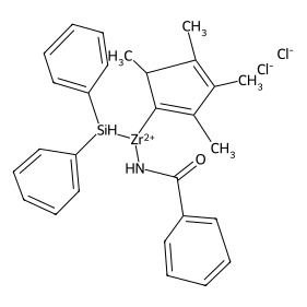 CC1=C(C)C(C)[C]([Zr+2]([NH]C(=O)c2ccccc2)[SiH](c2ccccc2)c2ccccc2)=C1C.[Cl-].[Cl-]